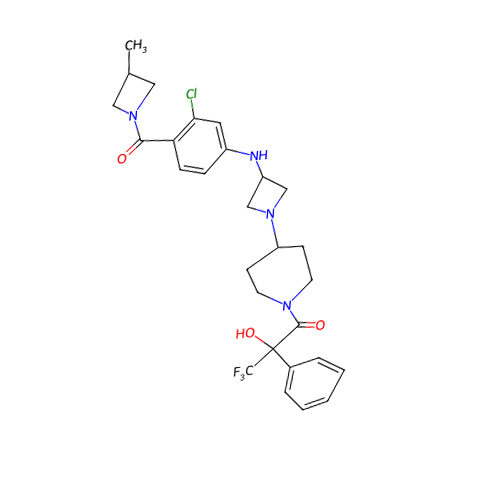 CC1CN(C(=O)c2ccc(NC3CN(C4CCN(C(=O)C(O)(c5ccccc5)C(F)(F)F)CC4)C3)cc2Cl)C1